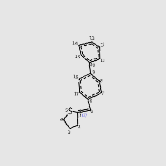 C(=C1\CCCS1)/c1ccc(-c2ccccc2)cc1